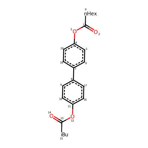 CCCCCCC(=O)Oc1ccc(-c2ccc(OC(=O)C(C)CC)cc2)cc1